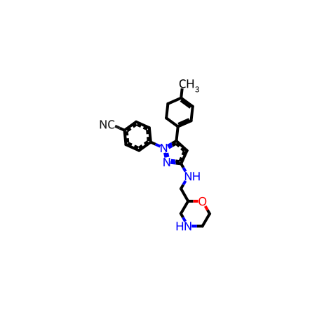 CC1=CC=C(c2cc(NCC3CNCCO3)nn2-c2ccc(C#N)cc2)CC1